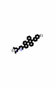 C=CCC(/C=C(/C)CC)c1ccc(-c2cccc3c(-c4c5ccccc5c(-c5ccc6c(c5)C=CC(CC)C6)c5ccccc45)cccc23)cn1